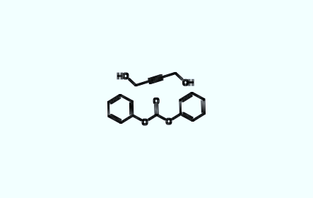 O=C(Oc1ccccc1)Oc1ccccc1.OCC#CCO